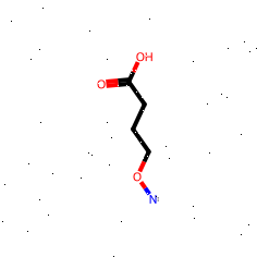 [N]OCCCC(=O)O